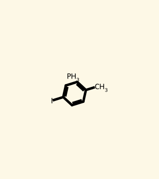 Cc1ccc(I)cc1.P